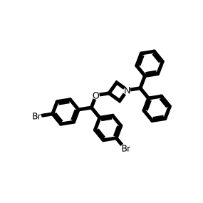 Brc1ccc(C(OC2CN(C(c3ccccc3)c3ccccc3)C2)c2ccc(Br)cc2)cc1